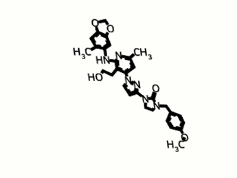 COc1ccc(CN2CCN(c3ccn(-c4cc(C)nc(Nc5cc6c(cc5C)OCO6)c4CCO)n3)C2=O)cc1